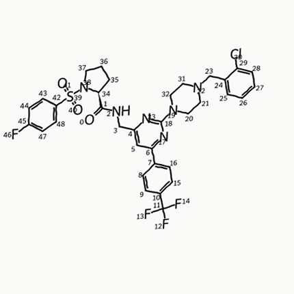 O=C(NCc1cc(-c2ccc(C(F)(F)F)cc2)nc(N2CCN(Cc3ccccc3Cl)CC2)n1)[C@@H]1CCCN1S(=O)(=O)c1ccc(F)cc1